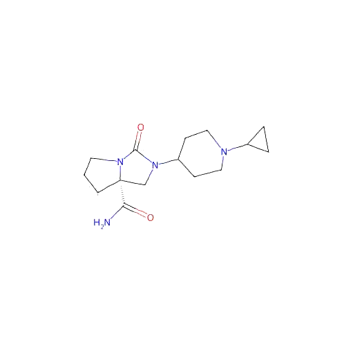 NC(=O)[C@]12[CH]CCN1C(=O)N(C1CCN(C3CC3)CC1)C2